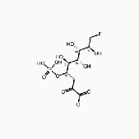 O=C(O)C(=O)C[C@H](OP(=O)(O)O)[C@@H](O)[C@@H](O)[C@H](O)[C@H](O)CF